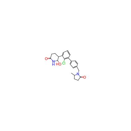 CC1CCC(=O)N1Cc1ccc(-c2cccc(C3CCC(=O)NC3O)c2Cl)cc1